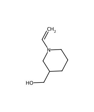 C=CN1CCCC(CO)C1